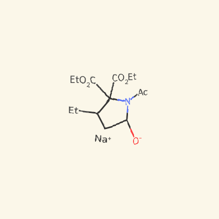 CCOC(=O)C1(C(=O)OCC)C(CC)CC([O-])N1C(C)=O.[Na+]